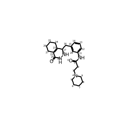 O=C(CCN1CCCCC1)Nc1cccc(CC2NNC(=O)C3=C2CCCC3)c1